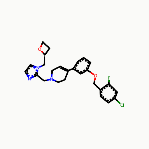 Fc1cc(Cl)ccc1COc1cccc(C2=CCN(Cc3nccn3C[C@@H]3CCO3)CC2)c1